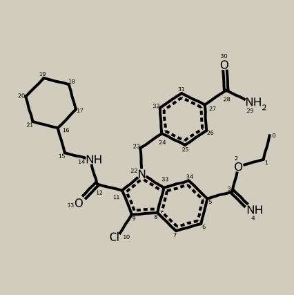 CCOC(=N)c1ccc2c(Cl)c(C(=O)NCC3CCCCC3)n(Cc3ccc(C(N)=O)cc3)c2c1